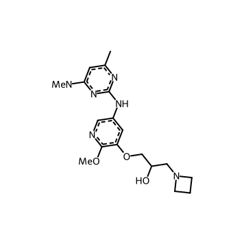 CNc1cc(C)nc(Nc2cnc(OC)c(OCC(O)CN3CCC3)c2)n1